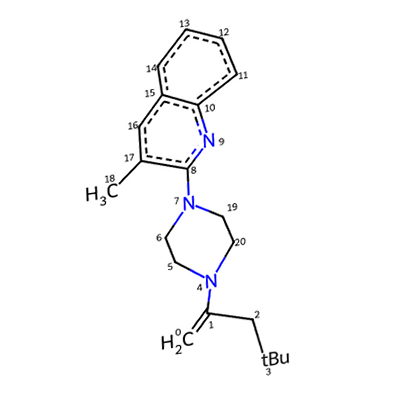 C=C(CC(C)(C)C)N1CCN(c2nc3ccccc3cc2C)CC1